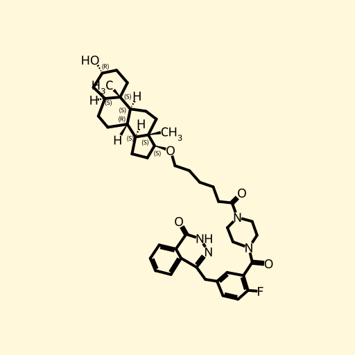 C[C@]12CC[C@@H](O)C[C@@H]1CC[C@@H]1[C@@H]2CC[C@]2(C)[C@@H](OCCCCCC(=O)N3CCN(C(=O)c4cc(Cc5n[nH]c(=O)c6ccccc56)ccc4F)CC3)CC[C@@H]12